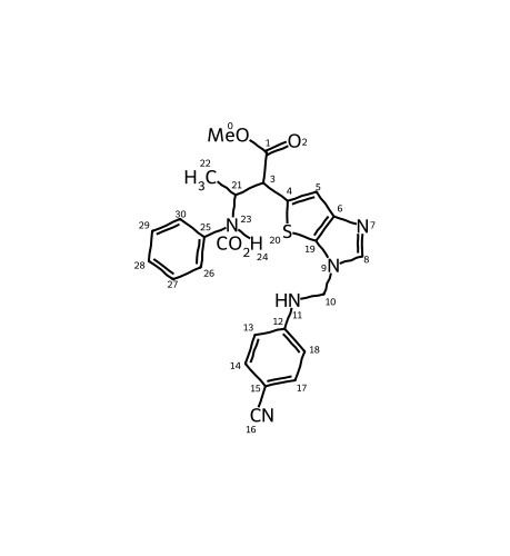 COC(=O)C(c1cc2ncn(CNc3ccc(C#N)cc3)c2s1)C(C)N(C(=O)O)c1ccccc1